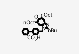 CCCCCCCCc1cc2nc(CCCC)n(Cc3ccc(-c4ccccc4C(=O)O)cc3)c2cc(CCCCCCCC)c1=O